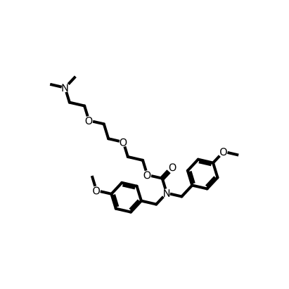 COc1ccc(CN(Cc2ccc(OC)cc2)C(=O)OCCOCCOCCN(C)C)cc1